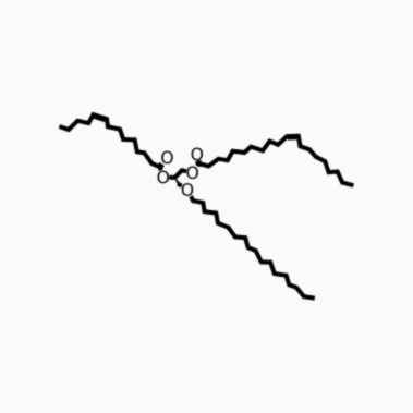 CCCC/C=C\CCCCCCCC(=O)O[C@H](COCCCCCCCCCCCCCCCCCC)COC(=O)CCCCCCCCC/C=C\CCCCCCCC